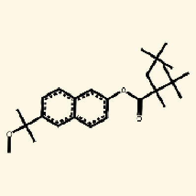 COC(C)(C)c1ccc2cc(OC(=O)C(C)(CC(C)(C)C)C(C)(C)C)ccc2c1